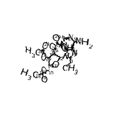 CCc1nc2c(N)ncnc2n1[C@@H]1O[C@H](COC(C)=O)C(OC(C)=O)C1OC(C)=O